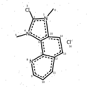 Cn1c(Cl)[n+](C)c2c3ncccc3ccc21.[Cl-]